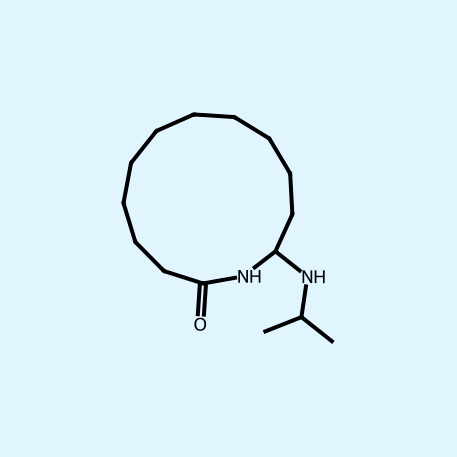 CC(C)NC1CCCCCCCCCCC(=O)N1